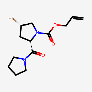 C=CCOC(=O)N1C[C@@H](S)C[C@H]1C(=O)N1CCCC1